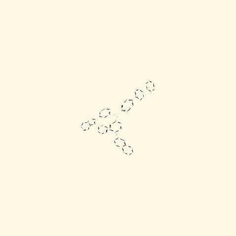 c1ccc(-c2ccc(-c3ccc(N(c4ccc(-c5ccc6ccccc6c5)cc4)c4cccc(-c5oc6ccccc6c5-c5ccccc5)c4)cc3)cc2)cc1